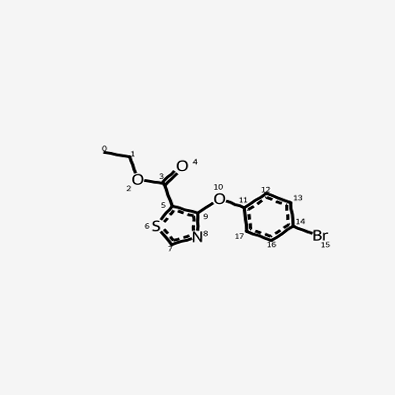 CCOC(=O)c1scnc1Oc1ccc(Br)cc1